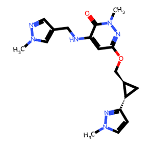 Cn1cc(CNc2cc(OC[C@H]3C[C@@H]3c3ccn(C)n3)nn(C)c2=O)cn1